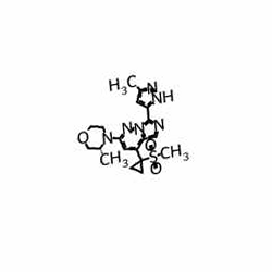 Cc1cc(-c2ncc3c(C4(S(C)(=O)=O)CC4)cc(N4CCOC[C@H]4C)nn23)[nH]n1